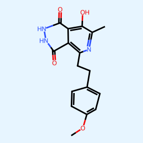 COc1ccc(CCc2nc(C)c(O)c3c(=O)[nH][nH]c(=O)c23)cc1